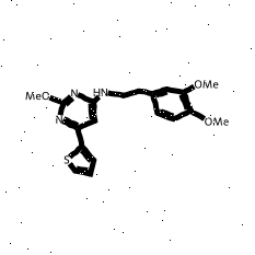 COc1nc(NCCc2ccc(OC)c(OC)c2)cc(-c2cccs2)n1